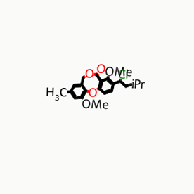 COc1cc(C)cc2c1Oc1ccc(C(Cl)CC(C)C)c(OC)c1C(=O)OC2